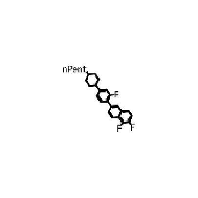 CCCCCC1CCC(c2ccc(-c3ccc4c(F)c(F)ccc4c3)c(F)c2)CC1